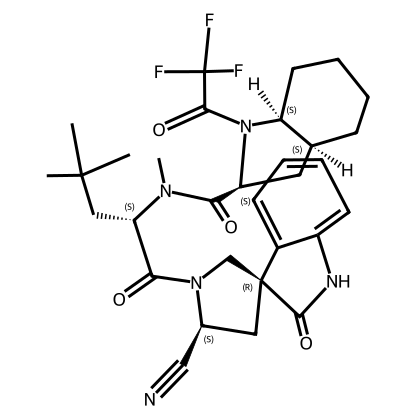 CN(C(=O)[C@@H]1C[C@@H]2CCCC[C@@H]2N1C(=O)C(F)(F)F)[C@@H](CC(C)(C)C)C(=O)N1C[C@]2(C[C@H]1C#N)C(=O)Nc1ccccc12